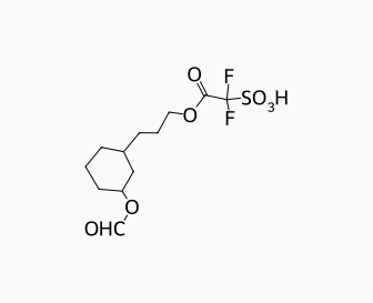 O=COC1CCCC(CCCOC(=O)C(F)(F)S(=O)(=O)O)C1